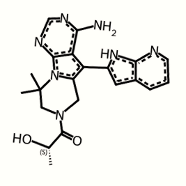 C[C@H](O)C(=O)N1Cc2c(-c3cc4cccnc4[nH]3)c3c(N)ncnc3n2C(C)(C)C1